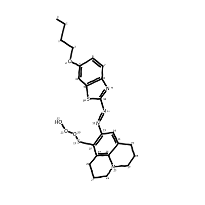 CCCCOc1ccc2nc(N=Nc3cc4c5c(c3SOOO)CCCN5CCC4)sc2c1